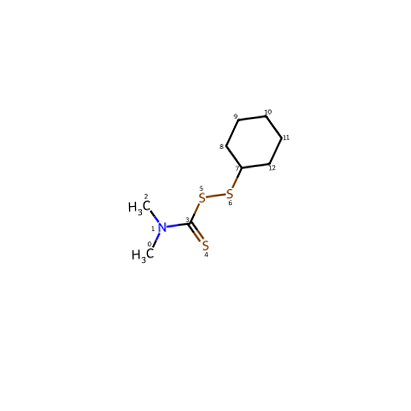 CN(C)C(=S)SSC1CCCCC1